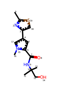 Cc1nc(-c2cc(C(=O)NC(C)(C)CO)n(C)c2)cs1